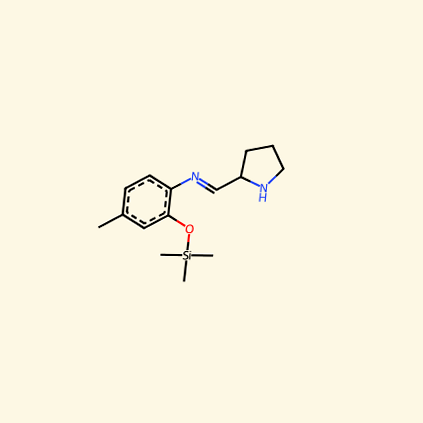 Cc1ccc(N=CC2CCCN2)c(O[Si](C)(C)C)c1